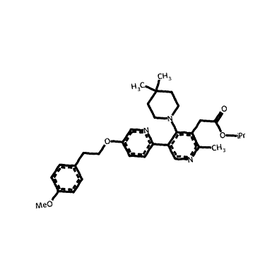 COc1ccc(CCOc2ccc(-c3cnc(C)c(CC(=O)OC(C)C)c3N3CCC(C)(C)CC3)nc2)cc1